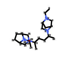 CCN1CC2CC1CN2C(C)CCC(C)N1CC2CCC(C1)N2CC